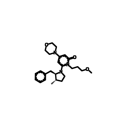 COCCCn1c(N2CC[C@H](C)[C@H]2Cc2ccccc2)cc(N2CCOCC2)cc1=O